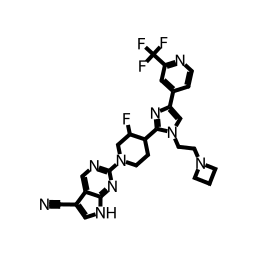 N#Cc1c[nH]c2nc(N3CCC(c4nc(-c5ccnc(C(F)(F)F)c5)cn4CCN4CCC4)C(F)C3)ncc12